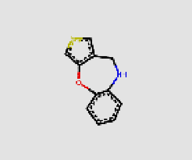 c1ccc2c(c1)NCc1cscc1O2